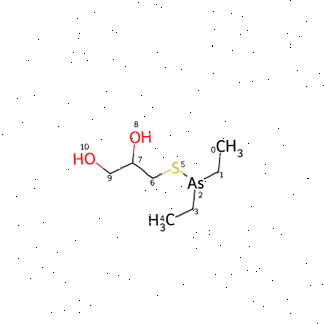 CC[As](CC)SCC(O)CO